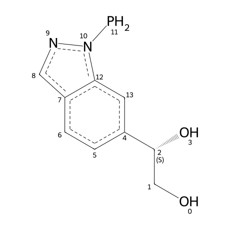 OC[C@@H](O)c1ccc2cnn(P)c2c1